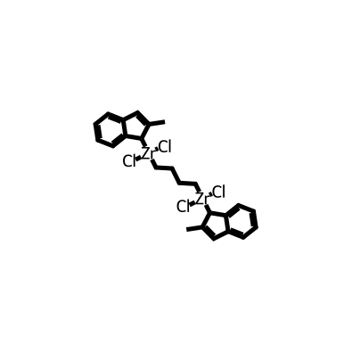 CC1=Cc2ccccc2[CH]1[Zr]([Cl])([Cl])[CH2]CC[CH2][Zr]([Cl])([Cl])[CH]1C(C)=Cc2ccccc21